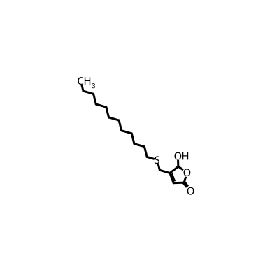 CCCCCCCCCCCCSCC1=CC(=O)OC1O